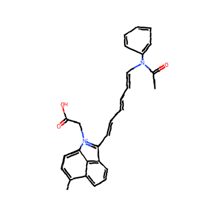 CC(=O)N(/C=C/C=C/C=C/C1=[N+](CC(=O)O)c2ccc(C)c3cccc1c23)c1ccccc1